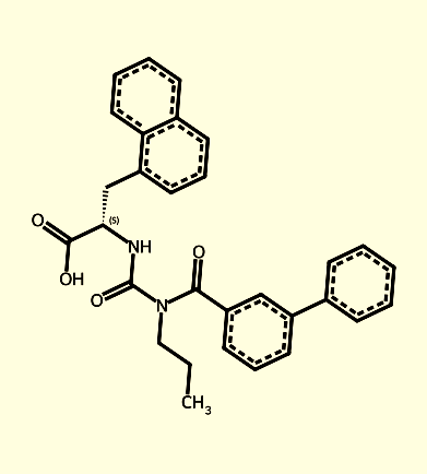 CCCN(C(=O)N[C@@H](Cc1cccc2ccccc12)C(=O)O)C(=O)c1cccc(-c2ccccc2)c1